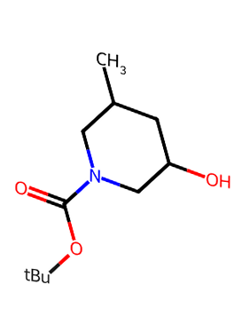 CC1CC(O)CN(C(=O)OC(C)(C)C)C1